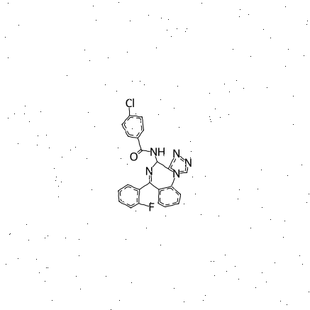 O=C(NC1N=C(c2ccccc2F)c2ccccc2-n2cnnc21)c1ccc(Cl)cc1